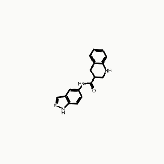 O=C(Nc1ccc2[nH]ncc2c1)C1CNc2ccccc2C1